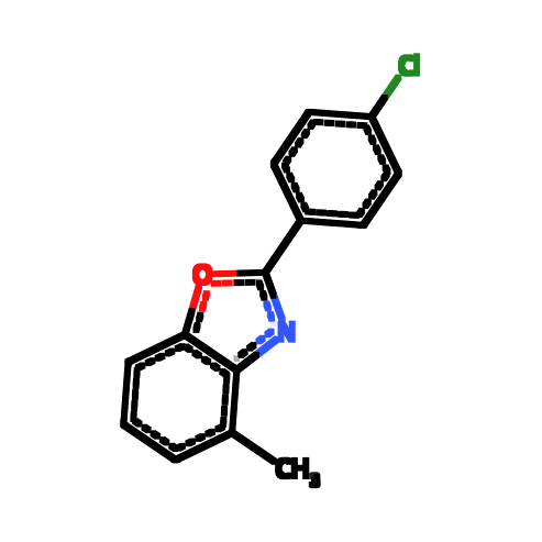 Cc1cccc2oc(-c3ccc(Cl)cc3)nc12